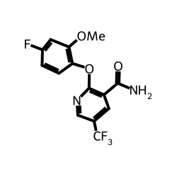 COc1cc(F)ccc1Oc1ncc(C(F)(F)F)cc1C(N)=O